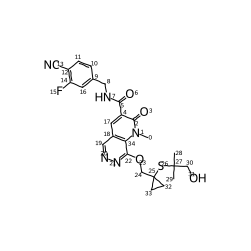 Cn1c(=O)c(C(=O)NCc2ccc(C#N)c(F)c2)cc2cnnc(OCC3(SC(C)(C)CO)CC3)c21